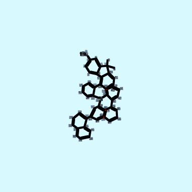 CC(C)(C)c1ccc2c(c1)C(C)(C)c1cccc(-c3ccccc3N(c3cccc(-c4cccc5ccccc45)c3)c3ccccc3-c3ccccc3)c1-2